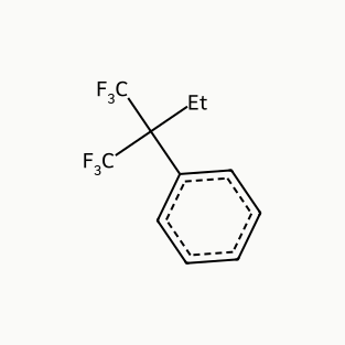 [CH2]CC(c1ccccc1)(C(F)(F)F)C(F)(F)F